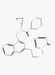 CC(=O)NCCc1cc(CN(C(=O)C2CNCC[C@@H]2c2ccn(C)c(=O)c2)C2CC2)c2ccccc2c1